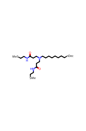 CCCCCCCCCCCCCCCCCCN(CCC(=O)NCCSC)CCC(=O)NCCSC